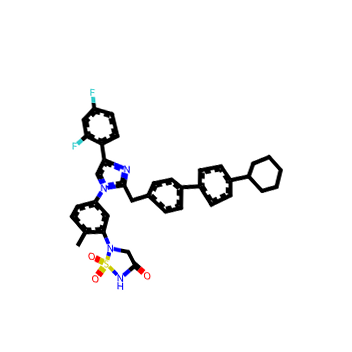 Cc1ccc(-n2cc(-c3ccc(F)cc3F)nc2Cc2ccc(-c3ccc(C4CCCCC4)cc3)cc2)cc1N1CC(=O)NS1(=O)=O